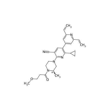 C=Cc1cc(-c2cc(C#N)c(N3CCN(C(=O)CCOC)[C@H](C)C3)nc2C2CC2)cc(C=C)n1